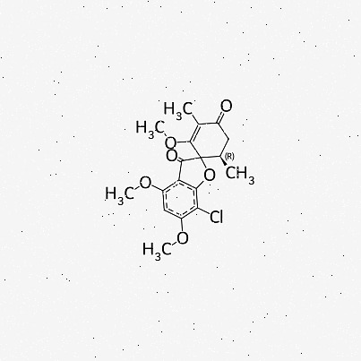 COC1=C(C)C(=O)C[C@@H](C)C12Oc1c(Cl)c(OC)cc(OC)c1C2=O